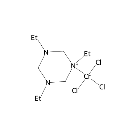 CCN1CN(CC)C[N+](CC)([Cr]([Cl])([Cl])[Cl])C1